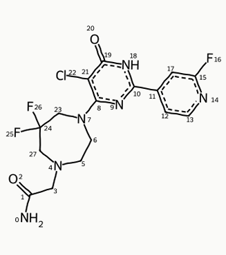 NC(=O)CN1CCN(c2nc(-c3ccnc(F)c3)[nH]c(=O)c2Cl)CC(F)(F)C1